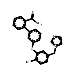 N#Cc1ccc(Cn2ccnc2)cc1Oc1cccc(-c2ccccc2C(N)=O)c1